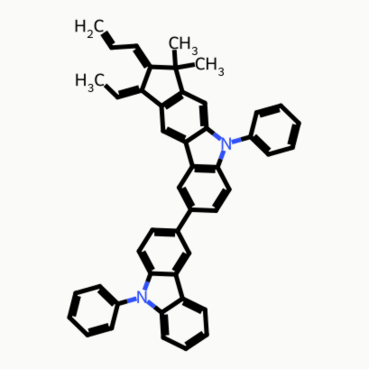 C=C/C=C1\C(=C/C)c2cc3c4cc(-c5ccc6c(c5)c5ccccc5n6-c5ccccc5)ccc4n(-c4ccccc4)c3cc2C1(C)C